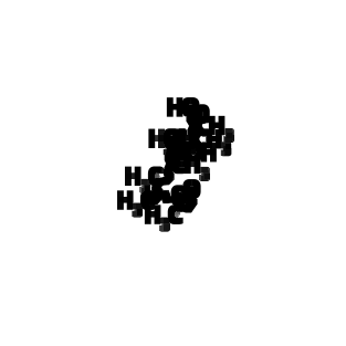 CCC(=C/[C@H](C)C/C=C/C(C)=C/[C@@H](CO)C(=O)[C@@H](C)[C@H](O)[C@@H](C)C/C(C)=C/C(=O)O)/C=C/[C@@H]1OC(=O)C=C[C@@H]1C